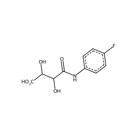 O=C(O)C(O)C(O)C(=O)Nc1ccc(F)cc1